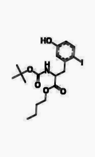 CCCCOC(=O)C(Cc1cc(O)ccc1I)NC(=O)OC(C)(C)C